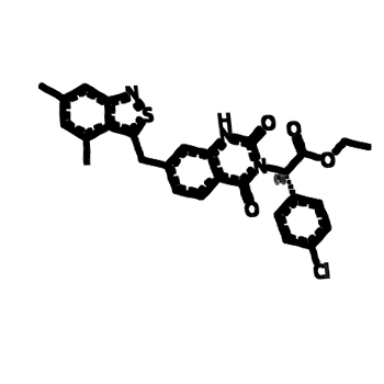 CCOC(=O)[C@H](c1ccc(Cl)cc1)n1c(=O)[nH]c2cc(Cc3snc4cc(C)cc(C)c34)ccc2c1=O